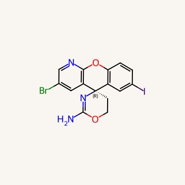 NC1=N[C@]2(CCO1)c1cc(I)ccc1Oc1ncc(Br)cc12